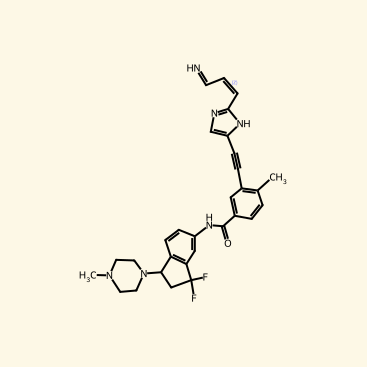 Cc1ccc(C(=O)Nc2ccc3c(c2)C(F)(F)CC3N2CCN(C)CC2)cc1C#Cc1cnc(/C=C\C=N)[nH]1